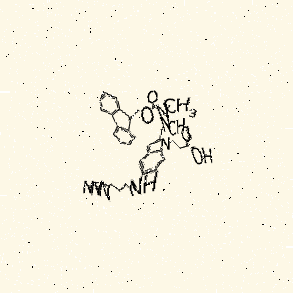 CN(Cc1cc2cc(NCCCN=[N+]=[N-])ccc2n1CCC(=O)O)N(C)C(=O)OCC1c2ccccc2-c2ccccc21